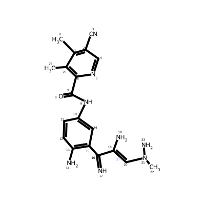 Cc1c(C#N)cnc(C(=O)Nc2ccc(N)c(C(=N)/C(N)=C/N(C)N)c2)c1C